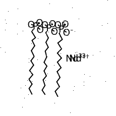 CCCCCCCCCCCCCCP(=O)([O-])[O-].CCCCCCCCCCCCCCP(=O)([O-])[O-].CCCCCCCCCCCCCCP(=O)([O-])[O-].[Nd+3].[Nd+3]